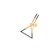 C=[PH]1CC1